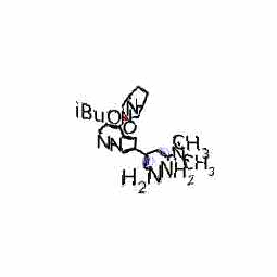 CC(C)COC(=O)N1C2CCC1CN(c1ccnn3cc(C(=C/N)/C=C(\N)N(C)C)cc13)C2